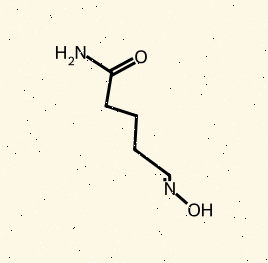 NC(=O)CCCC=NO